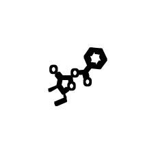 CC[C@H]1OC(OC(=O)c2ccccc2)C(=O)[C@@H]1C